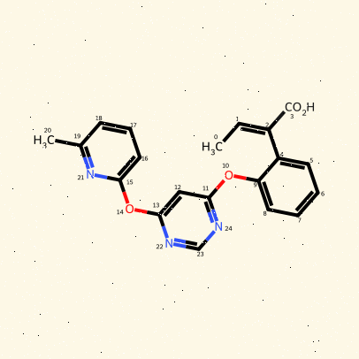 C/C=C(/C(=O)O)c1ccccc1Oc1cc(Oc2cccc(C)n2)ncn1